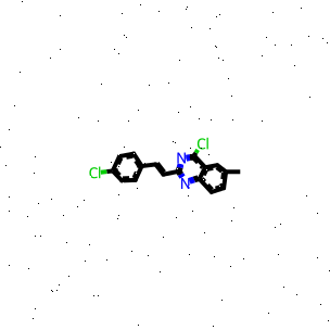 Cc1ccc2nc(/C=C/c3ccc(Cl)cc3)nc(Cl)c2c1